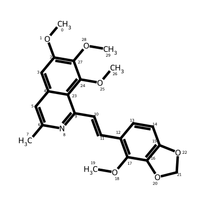 COc1cc2cc(C)nc(C=Cc3ccc4c(c3OC)OCO4)c2c(OC)c1OC